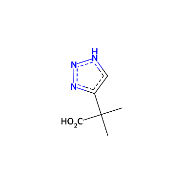 CC(C)(C(=O)O)c1c[nH]nn1